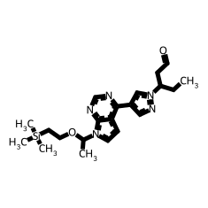 CCC(CC=O)n1cc(-c2ncnc3c2ccn3C(C)OCC[Si](C)(C)C)cn1